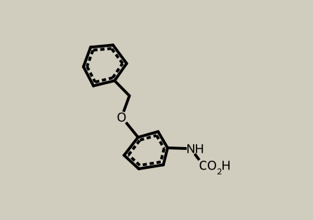 O=C(O)Nc1cccc(OCc2ccccc2)c1